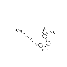 CCOc1cc(C2=NN(C(=O)c3ccc(OCCOCCOCCOC)cc3F)CCC2)ccc1OC